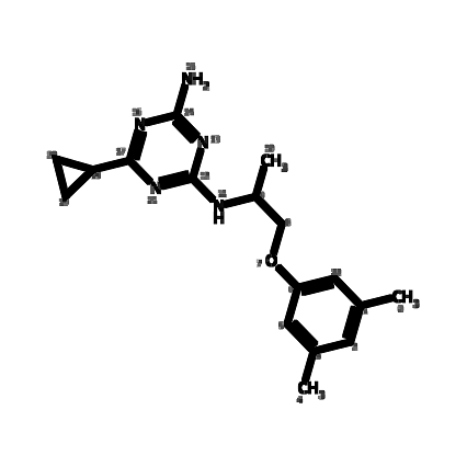 Cc1cc(C)cc(OCC(C)Nc2nc(N)nc(C3CC3)n2)c1